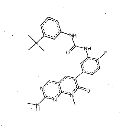 CNc1ncc2cc(-c3ccc(F)c(NC(=O)Nc4cccc(C(C)(C)C)c4)c3)c(=O)n(C)c2n1